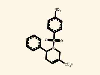 O=C(O)C1=CCC(c2ccccc2)N(S(=O)(=O)c2ccc([N+](=O)[O-])cc2)C1